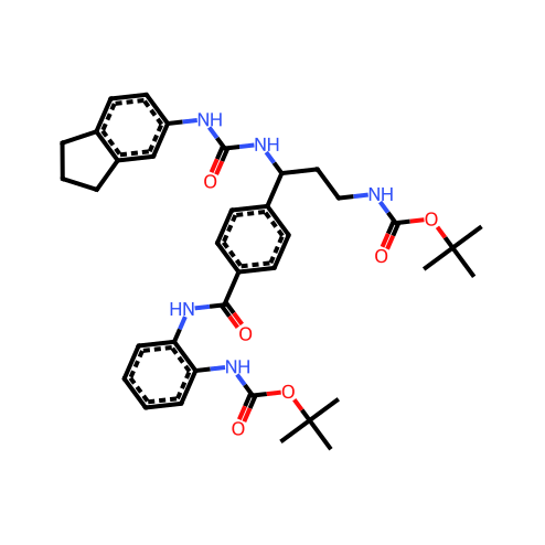 CC(C)(C)OC(=O)NCCC(NC(=O)Nc1ccc2c(c1)CCC2)c1ccc(C(=O)Nc2ccccc2NC(=O)OC(C)(C)C)cc1